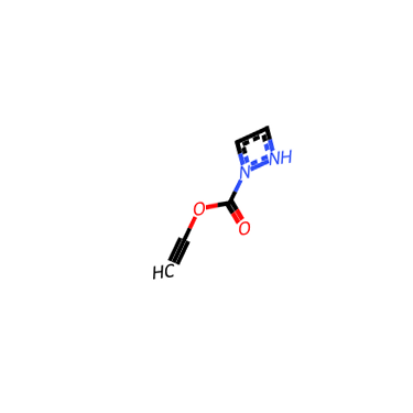 C#COC(=O)n1cc[nH]1